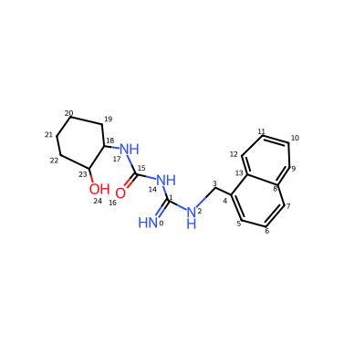 N=C(NCc1cccc2ccccc12)NC(=O)NC1CCCCC1O